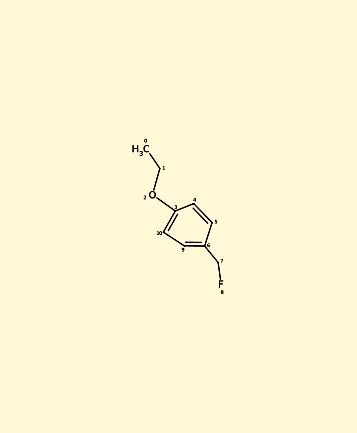 CCOc1ccc(CF)cc1